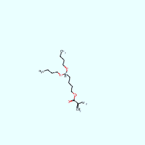 C=C(C)C(=O)OCCCC[SiH](OCCCC)OCCCC